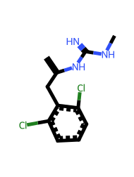 C=C(Cc1c(Cl)cccc1Cl)NC(=N)NC